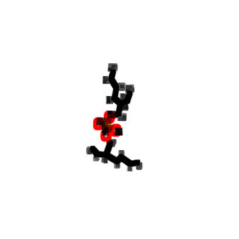 CCCCC(CC)COS(=O)(=O)OCC(CC)CCCC